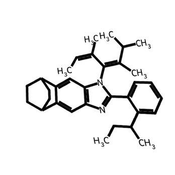 C/C=C(C)\C(=C(\C)C(C)C)n1c(-c2ccccc2C(C)CC)nc2cc3c(cc21)C1CCC3CC1